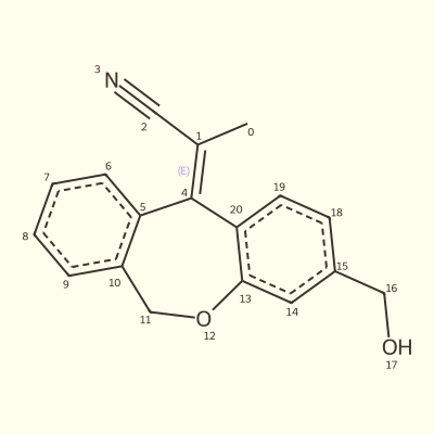 C/C(C#N)=C1/c2ccccc2COc2cc(CO)ccc21